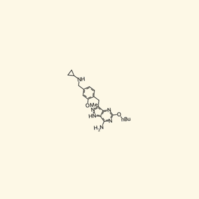 CCCCOc1nc(N)c2[nH]nc(Cc3ccc(CNC4CC4)cc3OC)c2n1